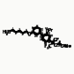 BCCCCCOc1cccc(-c2ccc(C(OCOC)(C(F)(F)F)C(F)(F)F)cc2CCC)c1